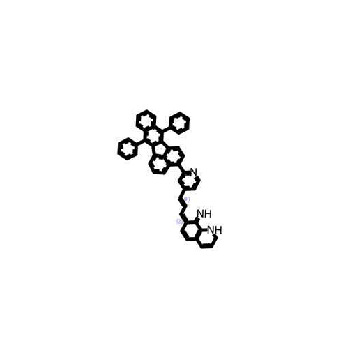 N=C1C2=C(C=CCN2)C=C/C1=C/C=C/c1ccnc(-c2ccc3c4c(cccc24)-c2c-3c(-c3ccccc3)c3ccccc3c2-c2ccccc2)c1